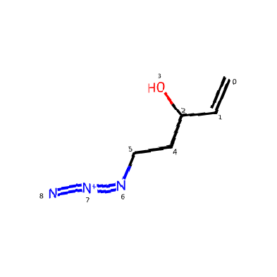 C=CC(O)CCN=[N+]=[N-]